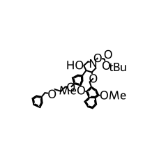 COc1cc(COC2CN(OC(=O)OC(C)(C)C)CC(O)C2c2ccc(OCCCOCc3ccccc3)cc2)c(OC)c2ccccc12